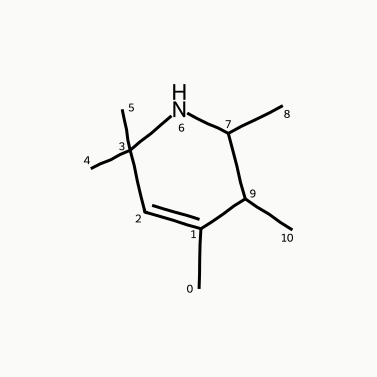 CC1=CC(C)(C)NC(C)C1C